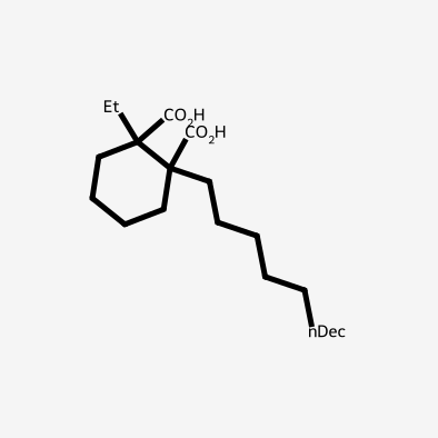 CCCCCCCCCCCCCCCC1(C(=O)O)CCCCC1(CC)C(=O)O